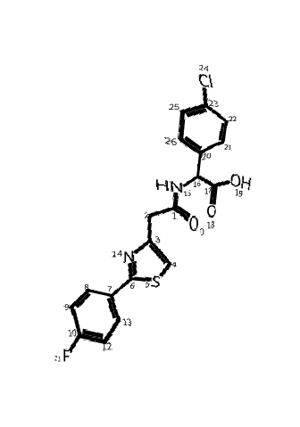 O=C(Cc1csc(-c2ccc(F)cc2)n1)NC(C(=O)O)c1ccc(Cl)cc1